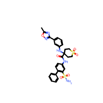 Cc1nc(-c2cccc(NC3(C(=O)Nc4ccc(-c5ccccc5)c(S(N)(=O)=O)c4)CCS(=O)(=O)CC3)c2)no1